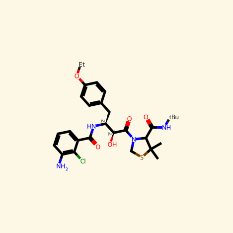 CCOc1ccc(C[C@H](NC(=O)c2cccc(N)c2Cl)[C@H](O)C(=O)N2CSC(C)(C)C2C(=O)NC(C)(C)C)cc1